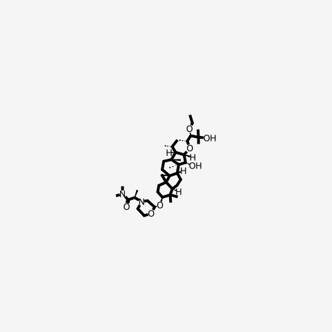 CCO[C@@H]([C@H]1C[C@@H](C)[C@H]2[C@H](O1)[C@H](O)[C@@]1(C)[C@@H]3CC[C@H]4C(C)(C)[C@@H](O[C@H]5CN([C@H](C)C(=O)N(C)C)CCO5)CCC45C[C@@]35CC[C@]21C)C(C)(C)O